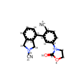 N#Cc1ccc(N2CCOC2=O)cc1-c1cccc2c1CN(C#N)C2